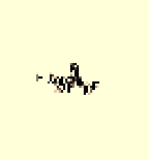 CN1C[C@H](F)C[C@H]1COc1nc(N2CC3CCC(C2)N3)c2cc(Cl)c(-c3ccc(F)c4sc(N)nc34)c(F)c2n1